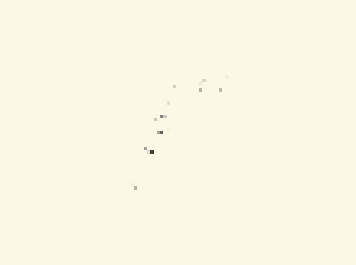 Cc1coc(CC(=O)Nc2cc(C3CCC(OC(=O)NC(C)C)C3)[nH]n2)n1